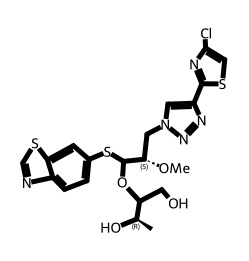 CO[C@@H](Cn1cc(-c2nc(Cl)cs2)nn1)C(OC(CO)[C@@H](C)O)Sc1ccc2ncsc2c1